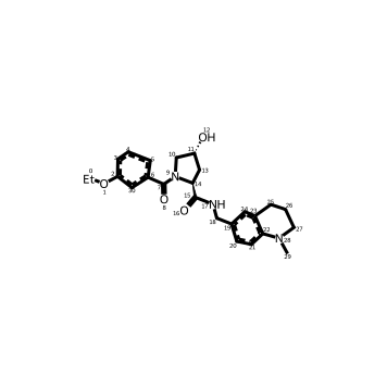 CCOc1cccc(C(=O)N2C[C@H](O)C[C@H]2C(=O)NCc2ccc3c(c2)CCCN3C)c1